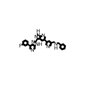 Fc1cccc(-c2cncc3[nH]c(-c4n[nH]c5ncc(-c6cncc(CNCc7ccccc7)c6)cc45)nc23)c1